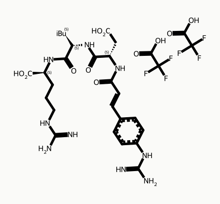 CC[C@H](C)[C@H](NC(=O)[C@H](CC(=O)O)NC(=O)C=Cc1ccc(NC(=N)N)cc1)C(=O)N[C@@H](CCCNC(=N)N)C(=O)O.O=C(O)C(F)(F)F.O=C(O)C(F)(F)F